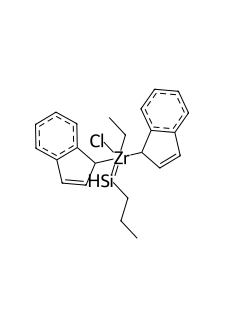 CCC[SiH]=[Zr]([Cl])([CH2]C)([CH]1C=Cc2ccccc21)[CH]1C=Cc2ccccc21